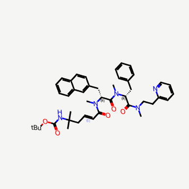 CN(CCc1ccccn1)C(=O)[C@@H](Cc1ccccc1)N(C)C(=O)[C@@H](Cc1ccc2ccccc2c1)N(C)C(=O)/C=C/CC(C)(C)NC(=O)OC(C)(C)C